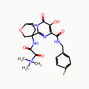 C[N+](C)(C)C(=O)C(=O)NC12CCC(Cn3c1nc(C(=O)NCc1ccc(F)cc1)c(O)c3=O)OC2